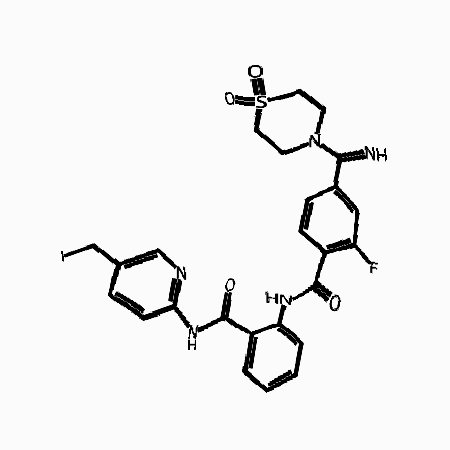 N=C(c1ccc(C(=O)Nc2ccccc2C(=O)Nc2ccc(CI)cn2)c(F)c1)N1CCS(=O)(=O)CC1